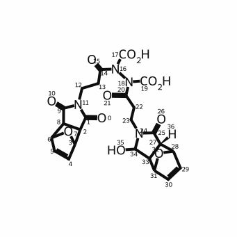 O=C1C2C3C=CC(O3)C2C(=O)N1CCC(=O)N(C(=O)O)N(C(=O)O)C(=O)CCN1C(=O)[C@@H]2C3C=CC(O3)C2C1O